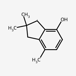 Cc1ccc(O)c2c1CC(C)(C)[CH]2